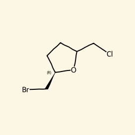 ClCC1CC[C@H](CBr)O1